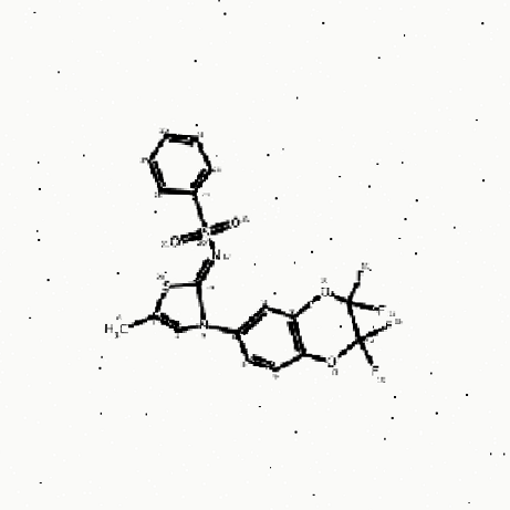 Cc1cn(-c2ccc3c(c2)OC(F)(F)C(F)(F)O3)c(=NS(=O)(=O)c2ccccc2)s1